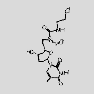 Cc1cn([C@H]2C[C@H](O)[C@@H](CN(N=O)C(=O)NCCCl)O2)c(=O)[nH]c1=O